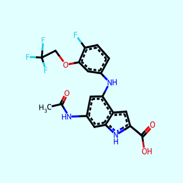 CC(=O)Nc1cc(Nc2ccc(F)c(OCC(F)(F)F)c2)c2cc(C(=O)O)[nH]c2c1